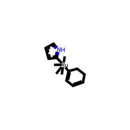 [CH3][Ru]([CH3])([CH3])([CH3])([C]1=CC=CCC1)[c]1ccc[nH]1